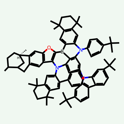 CC1CC[C@]2(C)CC1Cc1cc3c4c(oc3cc12)B1c2cc3c(cc2N(c2ccc(C(C)(C)C)cc2)c2cc(-n5c6cc(C(C)(C)C)ccc6c6ccc(C(C)(C)C)cc65)cc(c21)N4c1cc2c(cc1-c1ccccc1)C(C)(C)CCC2(C)C)C(C)(C)CCC3(C)C